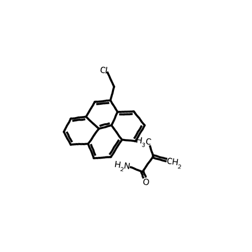 C=C(C)C(N)=O.ClCc1cc2cccc3ccc4cccc1c4c32